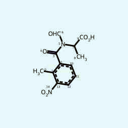 Cc1c(C(=O)N(C=O)C(C)C(=O)O)cccc1[N+](=O)[O-]